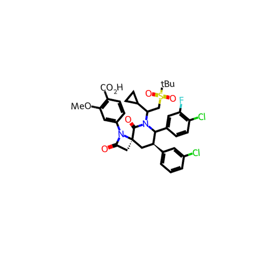 COc1cc(N2C(=O)C[C@]23C[C@H](c2cccc(Cl)c2)C(c2ccc(Cl)c(F)c2)N(C(CS(=O)(=O)C(C)(C)C)C2CC2)C3=O)ccc1C(=O)O